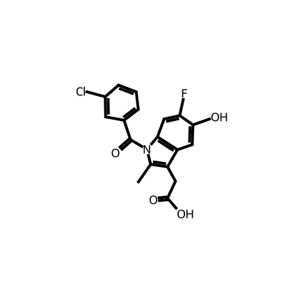 Cc1c(CC(=O)O)c2cc(O)c(F)cc2n1C(=O)c1cccc(Cl)c1